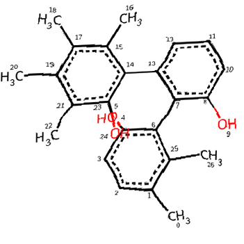 Cc1ccc(O)c(-c2c(O)cccc2-c2c(C)c(C)c(C)c(C)c2O)c1C